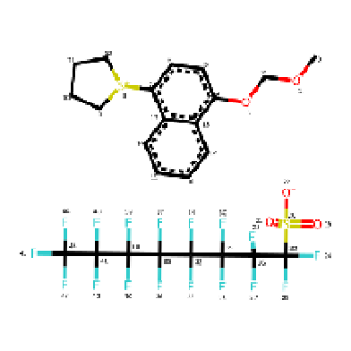 COCOc1ccc([S+]2CCCC2)c2ccccc12.O=S(=O)([O-])C(F)(F)C(F)(F)C(F)(F)C(F)(F)C(F)(F)C(F)(F)C(F)(F)C(F)(F)F